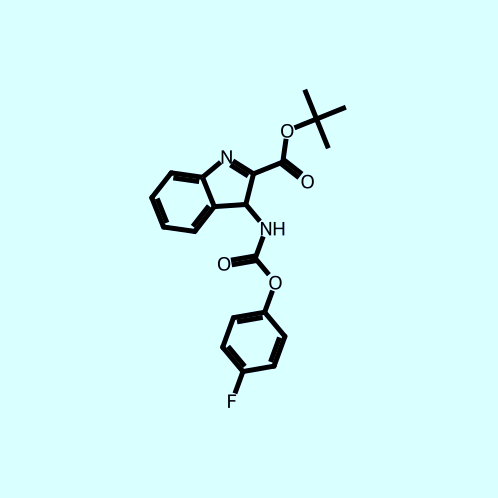 CC(C)(C)OC(=O)C1=Nc2ccccc2C1NC(=O)Oc1ccc(F)cc1